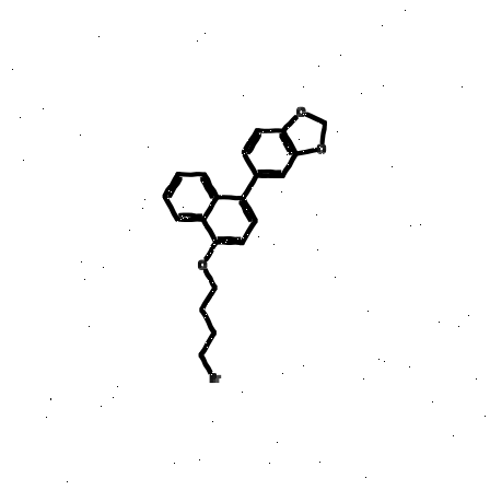 BrCCCCOc1ccc(-c2ccc3c(c2)OCO3)c2ccccc12